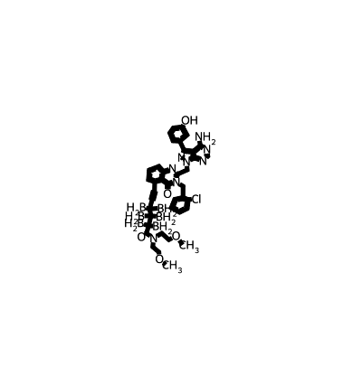 BC(B)(C#Cc1cccc2nc(Cn3nc(-c4cccc(O)c4)c4c(N)ncnc43)n(Cc3ccccc3Cl)c(=O)c12)C(B)(B)C(B)(B)C(=O)N(CCOC)CCOC